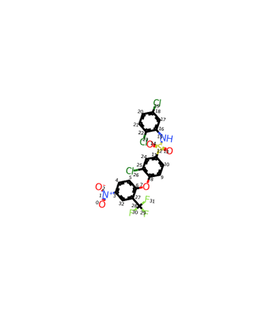 O=[N+]([O-])c1ccc(Oc2ccc(S(=O)(=O)Nc3cc(Cl)ccc3Cl)cc2Cl)c(C(F)(F)F)c1